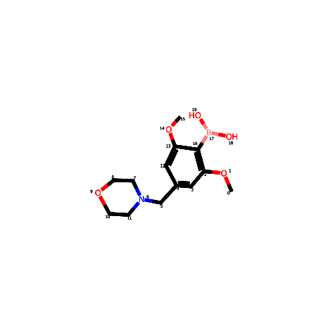 COc1cc(CN2CCOCC2)cc(OC)c1B(O)O